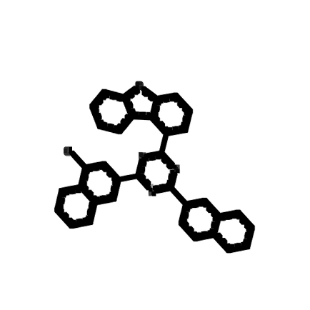 Clc1cc(-c2nc(-c3ccc4ccccc4c3)nc(-c3cccc4oc5ccccc5c34)n2)cc2ccccc12